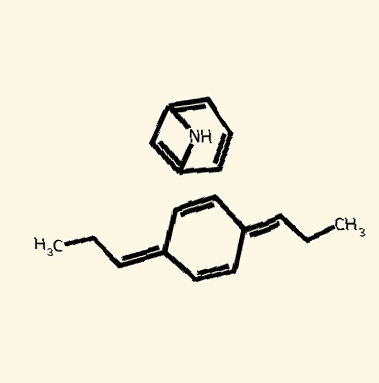 CCC=c1ccc(=CCC)cc1.c1cc2cc(c1)N2